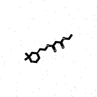 CCOC(=O)CC(=O)OCC[C@H]1CCCC(C)(C)C1